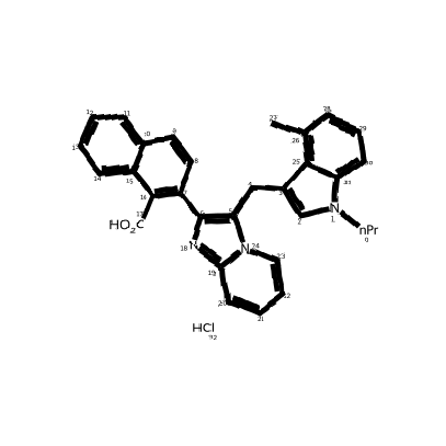 CCCn1cc(Cc2c(-c3ccc4ccccc4c3C(=O)O)nc3ccccn23)c2c(C)cccc21.Cl